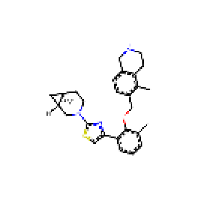 Cc1cccc(-c2csc(N3CC[C@@]4(C(=O)O)C[C@H]4C3)n2)c1OCc1ccc2c(c1C)CCNC2